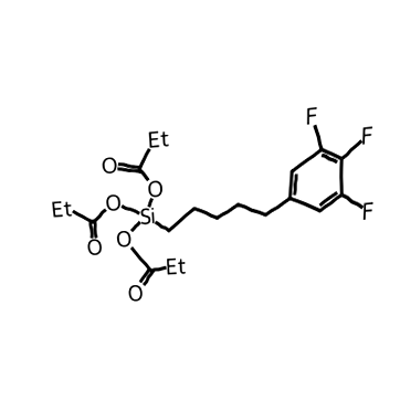 CCC(=O)O[Si](CCCCCc1cc(F)c(F)c(F)c1)(OC(=O)CC)OC(=O)CC